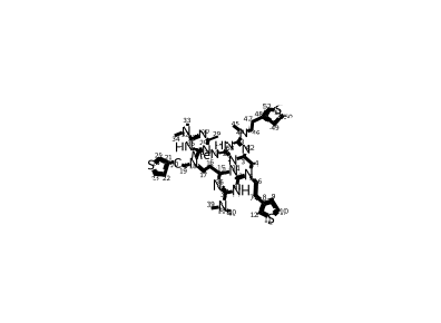 CNC1=NC(CN(CCc2ccsc2)C2=NC(CCN(CCc3ccsc3)C3=NC(C)N=C(N(C)C)N3)N=C(N(C)C)N2)N=C(N(C)CCc2ccsc2)N1